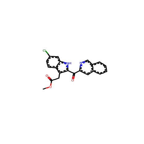 COC(=O)Cc1c(C(=O)c2cc3ccccc3cn2)[nH]c2cc(Cl)ccc12